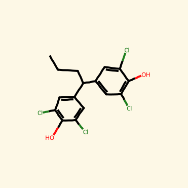 CCCC(c1cc(Cl)c(O)c(Cl)c1)c1cc(Cl)c(O)c(Cl)c1